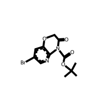 CC(C)(C)OC(=O)N1C(=O)COc2cc(Br)cnc21